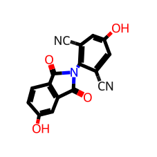 N#Cc1cc(O)cc(C#N)c1N1C(=O)c2ccc(O)cc2C1=O